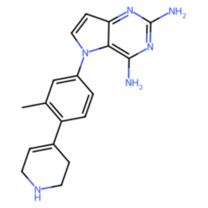 Cc1cc(-n2ccc3nc(N)nc(N)c32)ccc1C1=CCNCC1